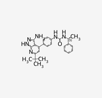 C[C@H](NC(=O)Nc1ccc(-c2cc(C(C)(C)C)nc3[nH]nc(N)c23)cc1)c1ccccc1